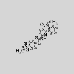 CCN(C(=O)c1ccc(NC(=O)Cc2ccc(S(=O)(=O)CC)cc2)nc1)c1ccccc1